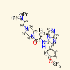 CC(Nc1c(-c2ccc(OC(F)(F)F)cc2)nc2cnccn12)C(=O)N1CCN(CCN(C(C)C)C(C)C)CC1